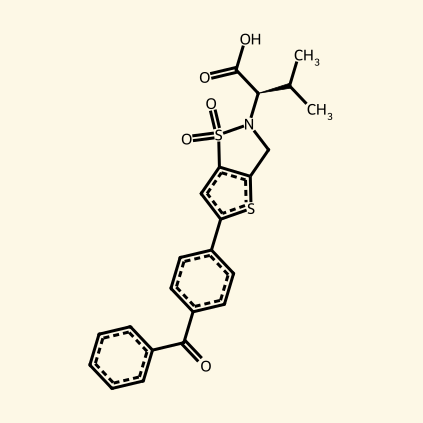 CC(C)[C@H](C(=O)O)N1Cc2sc(-c3ccc(C(=O)c4ccccc4)cc3)cc2S1(=O)=O